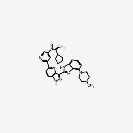 C=C(Nc1cncc(-c2ccc3[nH]nc(-c4nc5c(N6CCN(C)CC6)cccc5[nH]4)c3n2)c1)C1CCCC1